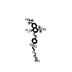 Nc1c(/N=N/c2ccc(S(=O)(=O)CCOSOOO)cc2)cc(S(=O)(=O)O)c2ccc(S(=O)(=O)O)cc12